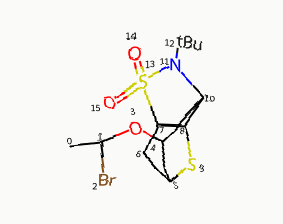 CC(Br)OC1C2CC3C(S2)C1N(C(C)(C)C)S3(=O)=O